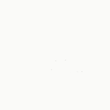 CC(=O)N[C@@H]1CO[C@H](C2CCC(CC3CCCC3)C2)[C@H](O)[C@@H]1O